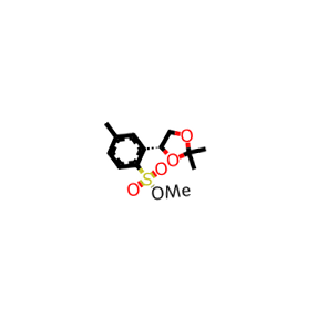 COS(=O)(=O)c1ccc(C)cc1[C@@H]1COC(C)(C)O1